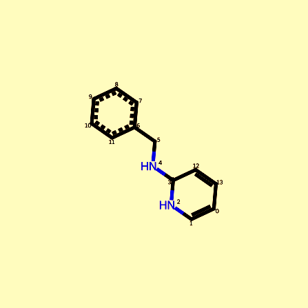 C1=CN[C](NCc2ccccc2)C=C1